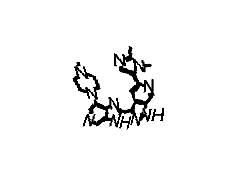 Cc1ncc(-c2cc3c(-c4nc5c(N6CCN(C)CC6)cncc5[nH]4)n[nH]c3cn2)n1C